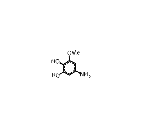 COc1cc(N)cc(O)c1O